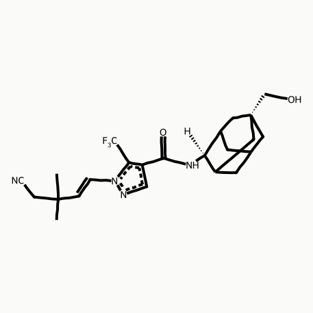 CC(C)(/C=C/n1ncc(C(=O)N[C@H]2C3CC4CC2C[C@](CO)(C4)C3)c1C(F)(F)F)CC#N